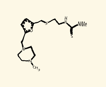 CNC(=S)NCCSCc1ccc(CN2CCN(C)CC2)o1